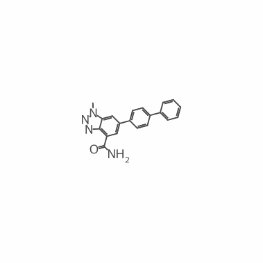 Cn1nnc2c(C(N)=O)cc(-c3ccc(-c4ccccc4)cc3)cc21